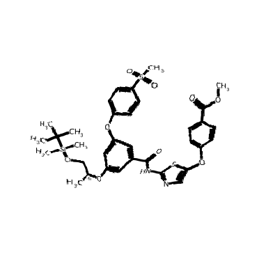 COC(=O)c1ccc(Oc2cnc(NC(=O)c3cc(Oc4ccc(S(C)(=O)=O)cc4)cc(O[C@@H](C)CO[Si](C)(C)C(C)(C)C)c3)s2)cc1